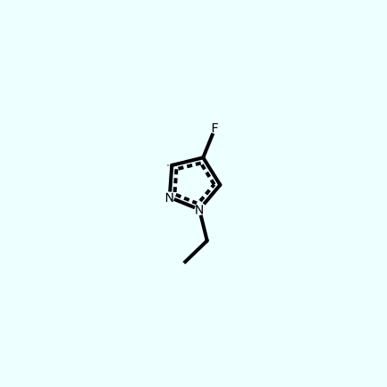 CCn1cc(F)[c]n1